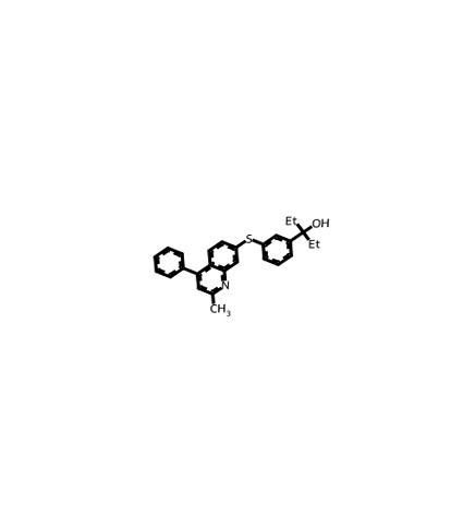 CCC(O)(CC)c1cccc(Sc2ccc3c(-c4ccccc4)cc(C)nc3c2)c1